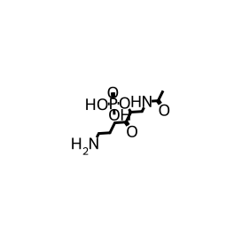 CC(=O)NCC(OP(=O)(O)O)C(=O)CCCN